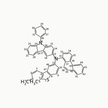 C=C/C=C\c1c(C)sc2ccc(N(c3ccc4c(c3)c3ccccc3n4-c3ccccc3)c3cccc4c3ccc3ccccc34)cc12